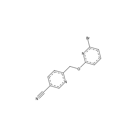 N#Cc1ccc(COc2cccc(Br)n2)nc1